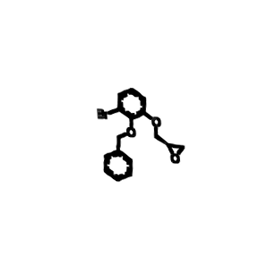 Brc1cccc(OC[C@H]2CO2)c1OCc1ccccc1